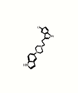 Clc1ccc2[nH]cc(CCN3CCN(c4ccc5[nH]ccc5c4)CC3)c2c1